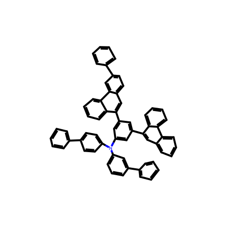 c1ccc(-c2ccc(N(c3cccc(-c4ccccc4)c3)c3cc(-c4cc5ccccc5c5ccccc45)cc(-c4cc5ccc(-c6ccccc6)cc5c5ccccc45)c3)cc2)cc1